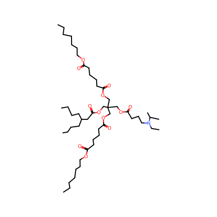 CCCCCCCOC(=O)CCCCC(=O)OCC(COC(=O)CCCCC(=O)OCCCCCCC)(COC(=O)CCCN(CC)C(C)C)COC(=O)CC(CCCC)CCCC